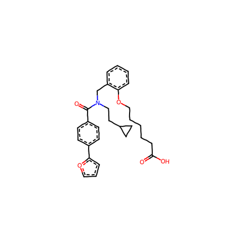 O=C(O)CCCCCOc1ccccc1CN(CCC1CC1)C(=O)c1ccc(-c2ccco2)cc1